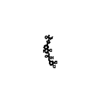 CCN(C(C)=O)C1CC(c2ccc3ncn(CC(=O)NCc4ccc(Cl)c(Cl)c4)c(=O)c3c2)C1